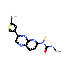 CCCCCNC(=O)N(S)c1ccc2ncc(-c3csc(C(=O)OCC)c3)nc2n1